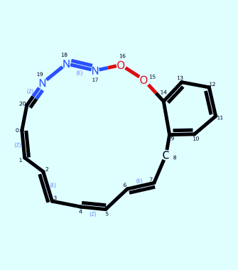 C1=C\C=C\C=C/C=C/Cc2ccccc2OO\N=N\N=C/1